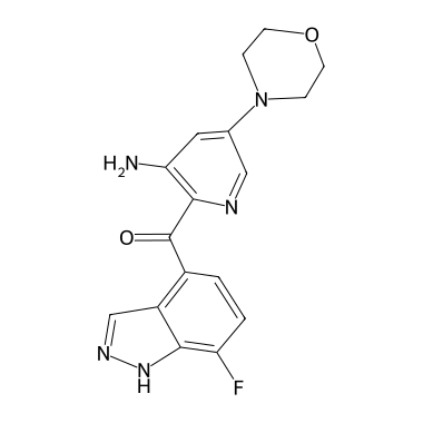 Nc1cc(N2CCOCC2)cnc1C(=O)c1ccc(F)c2[nH]ncc12